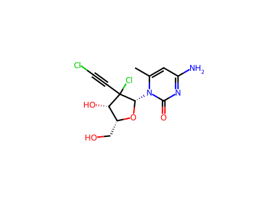 Cc1cc(N)nc(=O)n1[C@@H]1O[C@H](CO)[C@H](O)C1(Cl)C#CCl